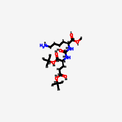 COC(=O)[C@H](CCCCN)NC(=O)N[C@@H](CCC(=O)OC(C)(C)C)C(=O)OC(C)(C)C